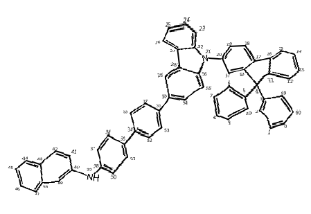 c1ccc(C2(c3ccccc3)c3ccccc3-c3ccc(-n4c5ccccc5c5cc(-c6ccc(-c7ccc(Nc8ccc9ccccc9c8)cc7)cc6)ccc54)cc32)cc1